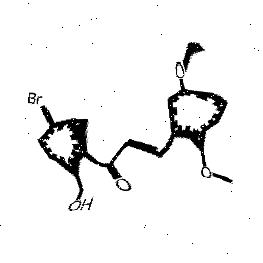 COc1ccc(OC)c(C=CC(=O)c2cc(Br)ccc2O)c1